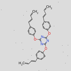 C=CC=Cc1ccc(Oc2nc(Oc3ccc(C=CC=C)cc3)nc(Oc3ccc(C=CC=C)cc3)n2)cc1